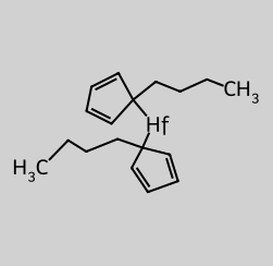 CCCC[C]1([Hf][C]2(CCCC)C=CC=C2)C=CC=C1